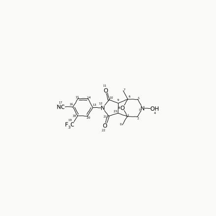 CC12CN(O)CC(C)(O1)C1C(=O)N(c3ccc(C#N)c(C(F)(F)F)c3)C(=O)C12